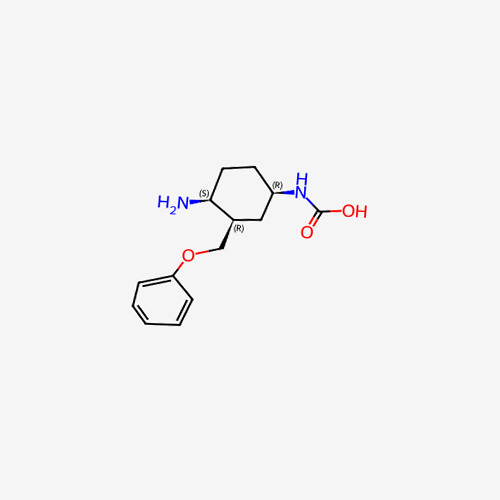 N[C@H]1CC[C@@H](NC(=O)O)C[C@H]1COc1ccccc1